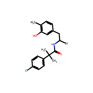 CCC(Cc1ccc(C)c(O)c1)NC(=O)C(C)(C)c1ccc(Cl)cc1